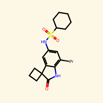 CC(C)c1cc(NS(=O)(=O)C2CCCCC2)cc2c1NC(=O)C21CCC1